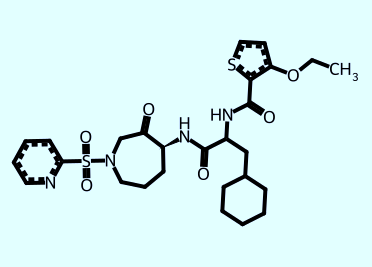 CCOc1ccsc1C(=O)NC(CC1CCCCC1)C(=O)N[C@H]1CCCN(S(=O)(=O)c2ccccn2)CC1=O